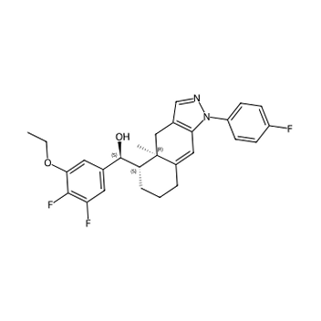 CCOc1cc([C@@H](O)[C@H]2CCCC3=Cc4c(cnn4-c4ccc(F)cc4)C[C@@]32C)cc(F)c1F